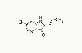 CC=Cn1[nH]c2cc(Cl)nnc2c1=O